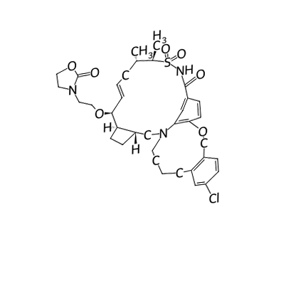 C[C@@H]1[C@@H](C)C/C=C/[C@H](OCCN2CCOC2=O)[C@@H]2CC[C@H]2CN2CCCCc3cc(Cl)ccc3COc3ccc(cc32)C(=O)NS1(=O)=O